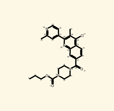 CCCOC(=O)N1CCN(C(=O)c2ccc3c(Cl)c(C)c(-c4ccnc(C)c4)nc3c2)CC1